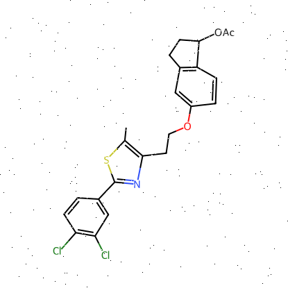 CC(=O)OC1CCc2cc(OCCc3nc(-c4ccc(Cl)c(Cl)c4)sc3C)ccc21